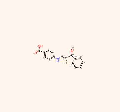 O=C(O)c1ccc(NC=C2Sc3ccccc3C2=O)cc1